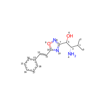 CC(C)[C@H](N)C(O)c1noc(C=Cc2ccccc2)n1